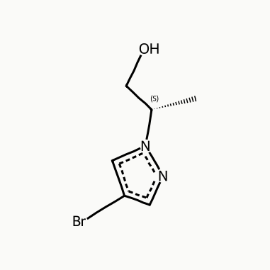 C[C@@H](CO)n1cc(Br)cn1